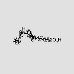 CCC(C)(C)C(=O)OCCOC(=O)NCC1CCCC(CNC(=O)OCCCCCCCCCC(=O)O)C1